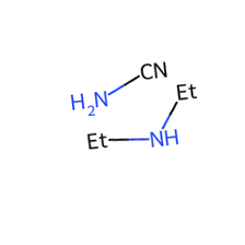 CCNCC.N#CN